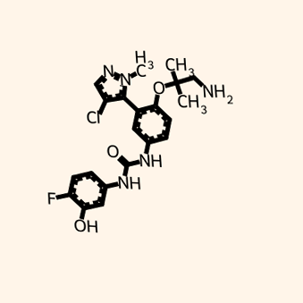 Cn1ncc(Cl)c1-c1cc(NC(=O)Nc2ccc(F)c(O)c2)ccc1OC(C)(C)CN